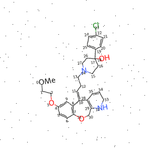 COCCOc1ccc2c(c1)C(=CCCN1CCC(O)(c3ccc(Cl)cc3)CC1)C1=C(CO2)NCC=C1